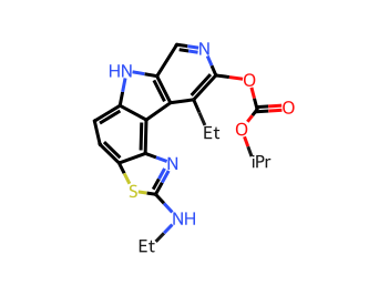 CCNc1nc2c(ccc3[nH]c4cnc(OC(=O)OC(C)C)c(CC)c4c32)s1